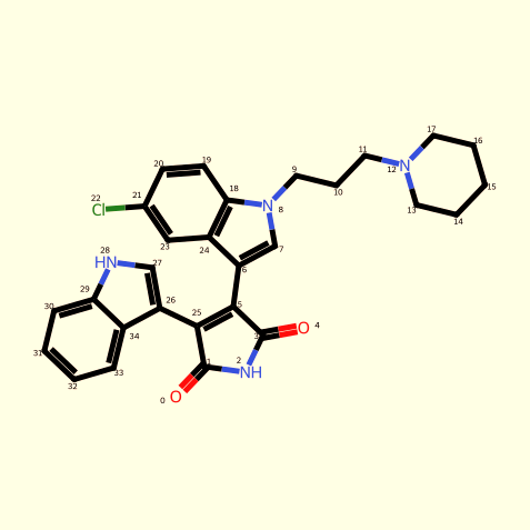 O=C1NC(=O)C(c2cn(CCCN3CCCCC3)c3ccc(Cl)cc23)=C1c1c[nH]c2ccccc12